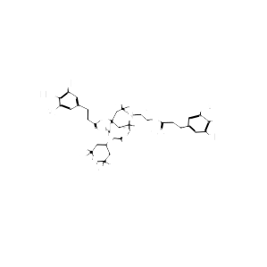 CCC(=O)N(NC1(OC(=O)CCc2cc(C(C)(C)C)c(O)c(C(C)(C)C)c2)CC(C)(C)N(CCOC(=O)CCc2cc(C(C)(C)C)c(O)c(C(C)(C)C)c2)C(C)(C)C1)C1CC(C)(C)NC(C)(C)C1